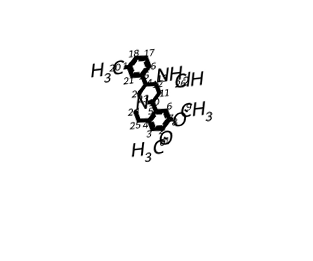 COc1cc2c(cc1OC)C1CC(N)C(c3cccc(C)c3)CN1CC2.Cl